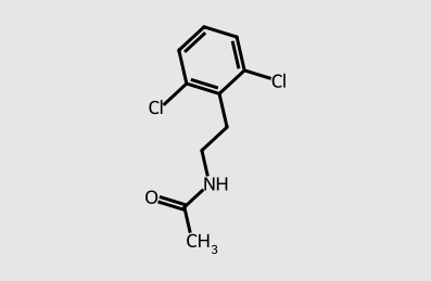 CC(=O)NCCc1c(Cl)cccc1Cl